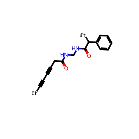 CCC#CC#CCC(=O)NCNC(=O)C(c1ccccc1)C(C)C